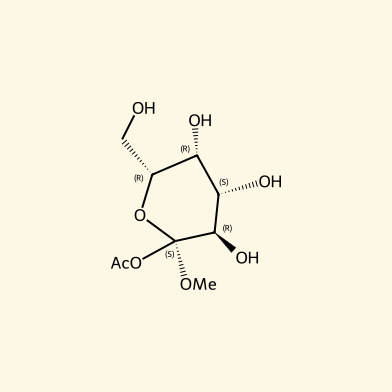 CO[C@]1(OC(C)=O)O[C@H](CO)[C@H](O)[C@H](O)[C@H]1O